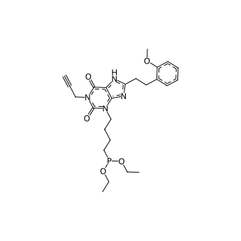 C#CCn1c(=O)c2[nH]c(CCc3ccccc3OC)nc2n(CCCCP(OCC)OCC)c1=O